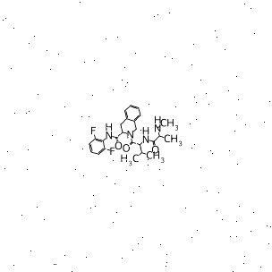 CNC(C)C(=O)NC(C(=O)N1Cc2ccccc2CC1C(=O)Nc1c(F)cccc1F)C(C)C